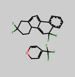 FC(F)(F)C1=CCOC=C1.FC1(F)CCC2C(=CC=C3C2=CC(F)(F)c2ccccc23)C1